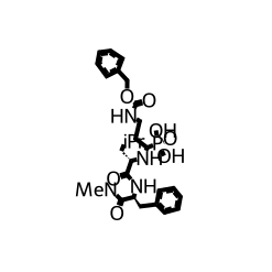 CNC(=O)[C@H](Cc1ccccc1)NC(=O)[C@H](CC(C)C)NC(CCNC(=O)OCc1ccccc1)P(=O)(O)O